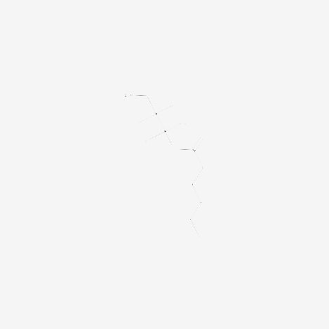 CCCCCC(=O)OC(Br)(Br)C(C)(C)CBr